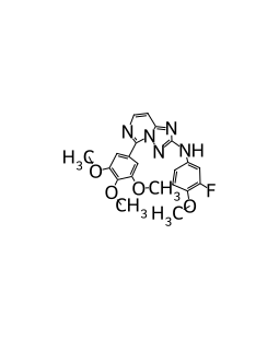 COc1ccc(Nc2nc3ccnc(-c4cc(OC)c(OC)c(OC)c4)n3n2)cc1F